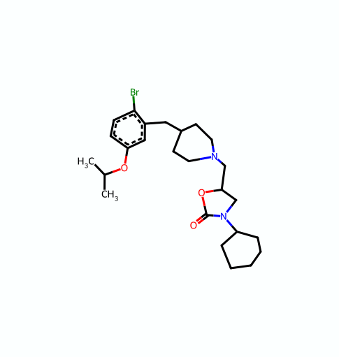 CC(C)Oc1ccc(Br)c(CC2CCN(CC3CN(C4CCCCC4)C(=O)O3)CC2)c1